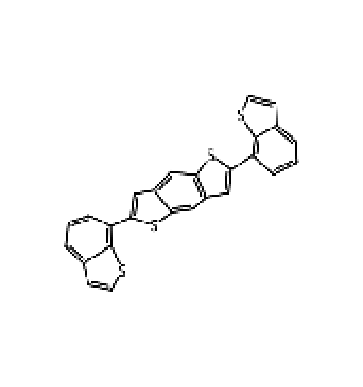 c1cc(-c2cc3cc4sc(-c5cccc6ccsc56)cc4cc3s2)c2sccc2c1